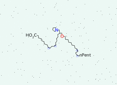 CCCCC/C=C\C/C=C\CCCCCCCCOCC(CCCCC/C=C\C/C=C\CCCCCCCC(=O)O)CN1CCCC1